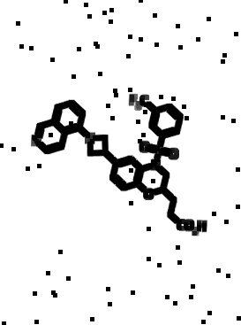 O=C(O)CCC1CN(S(=O)(=O)c2cccc(C(F)(F)F)c2)c2cc(C3CN(c4cccc5cnccc45)C3)ccc2O1